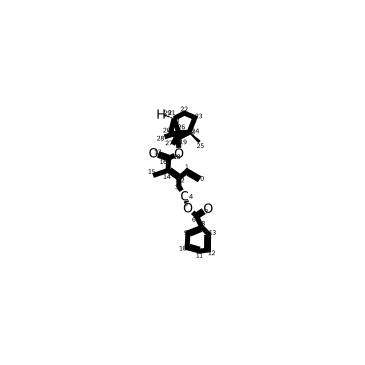 C=CC(CCOC(=O)c1ccccc1)=C(C)C(=O)OC1C[C@H]2CC[C@@]1(C)C2(C)C